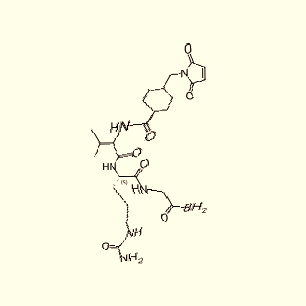 BC(=O)CNC(=O)[C@H](CCCNC(N)=O)NC(=O)C(NC(=O)C1CCC(CN2C(=O)C=CC2=O)CC1)C(C)C